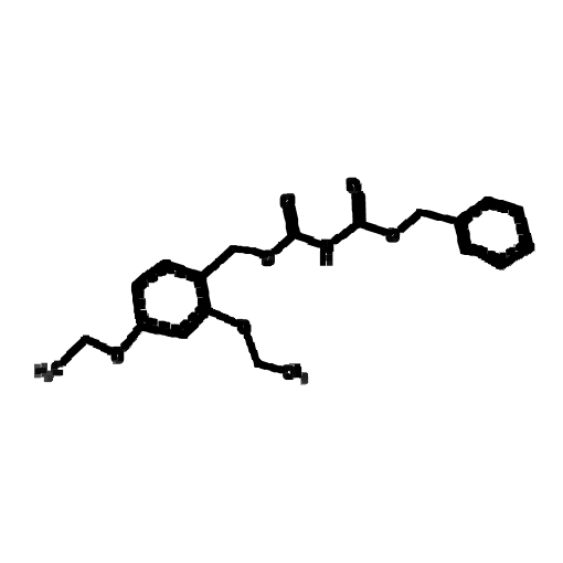 CCOc1ccc(COC(=O)NC(=O)OCc2ccccc2)c(OCC)c1